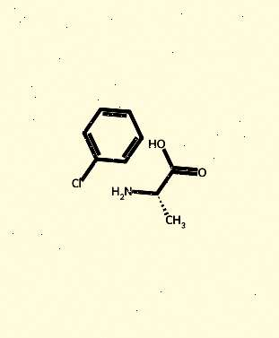 C[C@H](N)C(=O)O.Clc1ccccc1